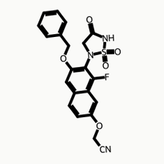 N#CCOc1ccc2cc(OCc3ccccc3)c(N3CC(=O)NS3(=O)=O)c(F)c2c1